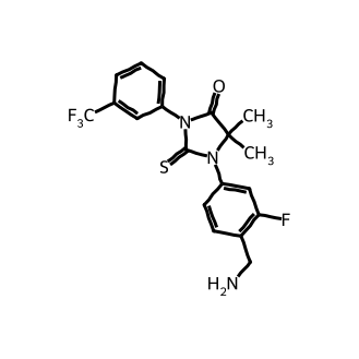 CC1(C)C(=O)N(c2cccc(C(F)(F)F)c2)C(=S)N1c1ccc(CN)c(F)c1